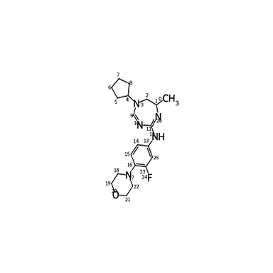 CC1CN(C2CCCC2)C=NC(Nc2ccc(N3CCOCC3)c(F)c2)=N1